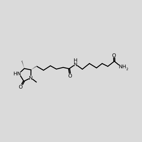 C[C@H]1NC(=O)N(C)[C@H]1CCCCCC(=O)NCCCCCC(N)=O